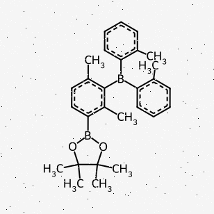 Cc1ccccc1B(c1ccccc1C)c1c(C)ccc(B2OC(C)(C)C(C)(C)O2)c1C